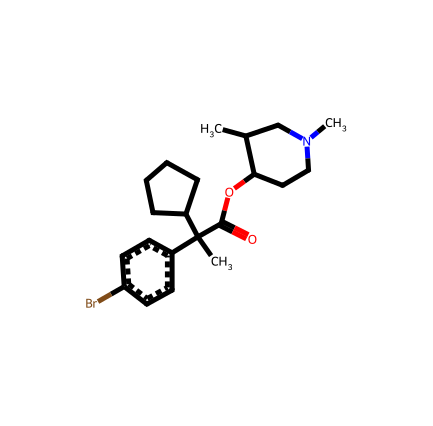 CC1CN(C)CCC1OC(=O)C(C)(c1ccc(Br)cc1)C1CCCC1